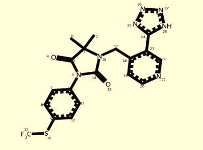 CC1(C)C(=O)N(c2ccc(SC(F)(F)F)cc2)C(=O)N1Cc1ccncc1-c1nnn[nH]1